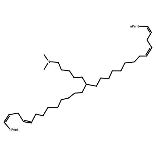 CCCCC/C=C\C/C=C\CCCCCCCCC(CCCCCCCC/C=C\C/C=C\CCCCC)CCCCCN(C)C